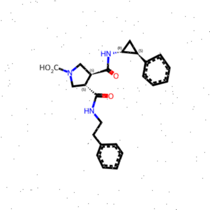 O=C(NCCc1ccccc1)[C@@H]1CN(C(=O)O)C[C@H]1C(=O)N[C@@H]1C[C@H]1c1ccccc1